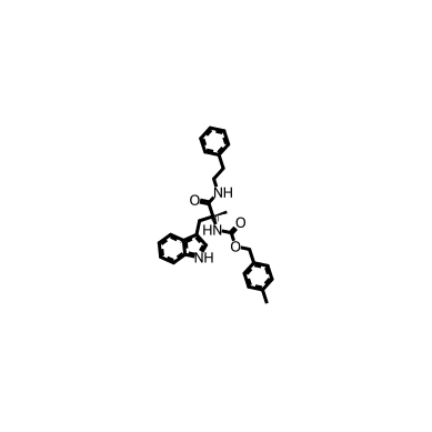 Cc1ccc(COC(=O)N[C@](C)(Cc2c[nH]c3ccccc23)C(=O)NCCc2ccccc2)cc1